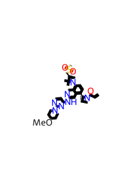 C=CC(=O)N1CC[C@H]1c1ccc(N2C[C@H](CS(C)(=O)=O)C2(C)C)c2cnc(Nc3ccnc(N4CCC(OC)CC4)n3)cc12